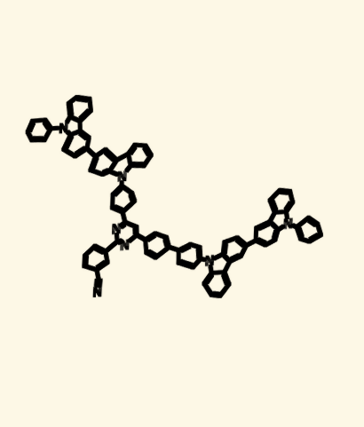 N#Cc1cccc(-c2nc(-c3ccc(-c4ccc(-n5c6ccccc6c6cc(-c7ccc8c(c7)c7ccccc7n8-c7ccccc7)ccc65)cc4)cc3)cc(-c3ccc(-n4c5ccccc5c5cc(-c6ccc7c(c6)c6ccccc6n7-c6ccccc6)ccc54)cc3)n2)c1